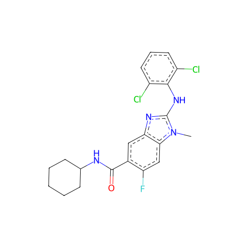 Cn1c(Nc2c(Cl)cccc2Cl)nc2cc(C(=O)NC3CCCCC3)c(F)cc21